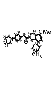 COc1ccc(N2CCN(C)CC2)c2c1CCN(C(=O)Cc1ccc(N3CCOCC3)cc1)C2